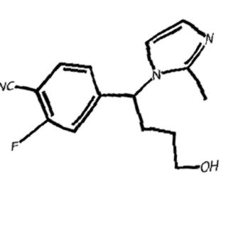 Cc1nccn1C(CCCO)c1ccc(C#N)c(F)c1